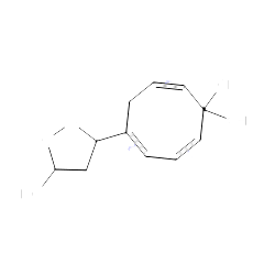 CC1(C)/C=C\C=C(\C2CC(O)OO2)C/C=C\1